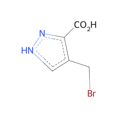 O=C(O)c1n[nH]cc1CBr